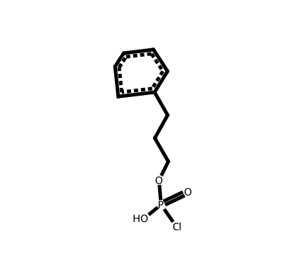 O=P(O)(Cl)OCCCc1ccccc1